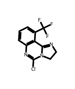 FC(F)(F)c1cccc2c1C1=NCCN1C(Cl)=N2